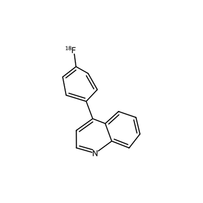 [18F]c1ccc(-c2ccnc3ccccc23)cc1